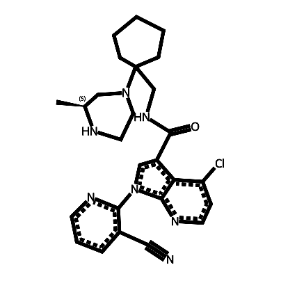 C[C@H]1CN(C2(CNC(=O)c3cn(-c4ncccc4C#N)c4nccc(Cl)c34)CCCCC2)CCN1